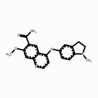 COc1cc2nccc(Oc3ccc4c(c3)CCN4C)c2cc1C(N)=O